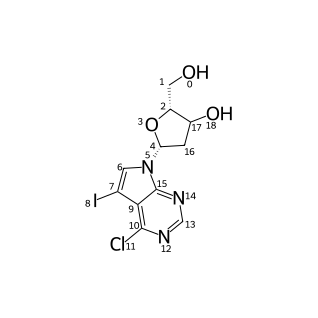 OC[C@H]1O[C@@H](n2cc(I)c3c(Cl)ncnc32)CC1O